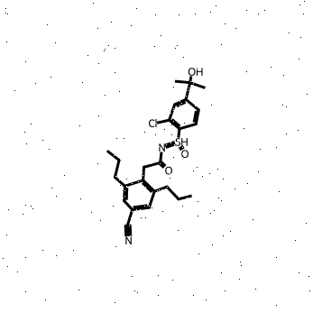 CCCc1cc(C#N)cc(CCC)c1CC(=O)N=[SH](=O)c1ccc(C(C)(C)O)cc1Cl